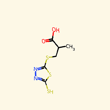 CC(CSc1nnc(S)s1)C(=O)O